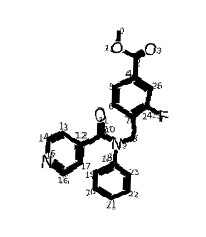 COC(=O)c1ccc(CN(C(=O)c2ccncc2)c2ccccc2)c(F)c1